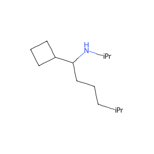 CC(C)CCCC(NC(C)C)C1CCC1